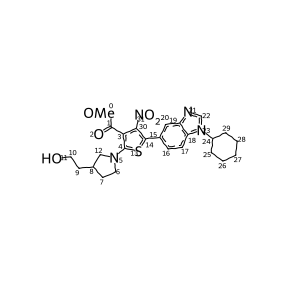 COC(=O)c1c(N2CCC(CCO)C2)sc(-c2ccc3c(c2)ncn3C2CCCCC2)c1[N+](=O)[O-]